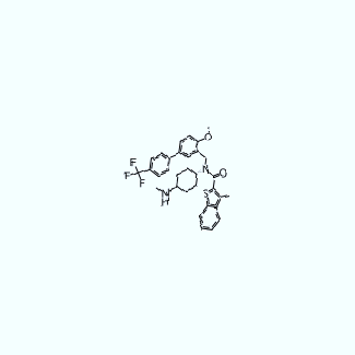 CN[C@H]1CC[C@H](N(Cc2cc(-c3ccc(C(F)(F)F)cc3)ccc2OC)C(=O)c2sc3ccccc3c2C)CC1